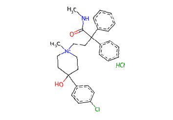 CNC(=O)C(CC[N+]1(C)CCC(O)(c2ccc(Cl)cc2)CC1)(c1ccccc1)c1ccccc1.Cl